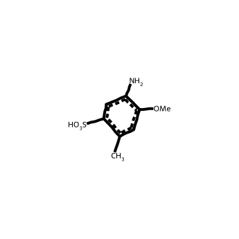 COc1cc(C)c(S(=O)(=O)O)cc1N